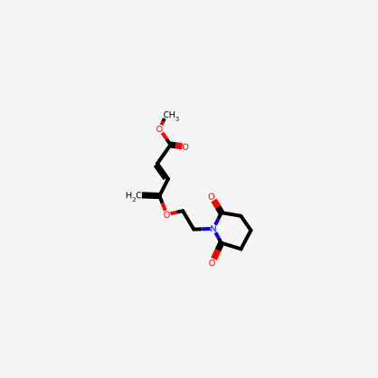 C=C(/C=C/C(=O)OC)OCCN1C(=O)CCCC1=O